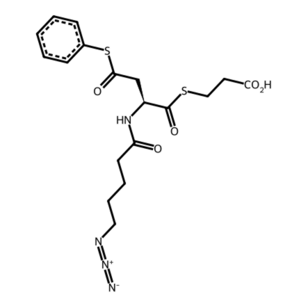 [N-]=[N+]=NCCCCC(=O)N[C@@H](CC(=O)Sc1ccccc1)C(=O)SCCC(=O)O